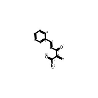 C=C(C(=O)C=Cc1ccccc1)C(=O)CC